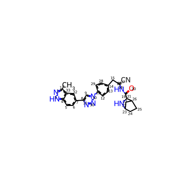 Cc1n[nH]c2ccc(-c3cn(-c4ccc(C[C@@H](C#N)NC(=O)C5NC6CCC5C6)cc4)nn3)cc12